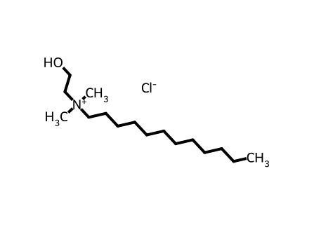 CCCCCCCCCCCC[N+](C)(C)CCO.[Cl-]